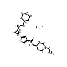 Cl.O=C(NC1CCN(CC(F)(F)F)CC1)c1csc([C@@H]2C[C@H]2NCC2CCOCC2)c1